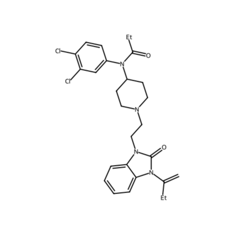 C=C(CC)n1c(=O)n(CCN2CCC(N(C(=O)CC)c3ccc(Cl)c(Cl)c3)CC2)c2ccccc21